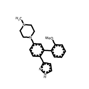 COc1ccccc1-c1cc(N2CCN(C)CC2)ccc1-c1cc[nH]n1